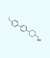 CCc1ccc(-c2ccc(C3CCC(CO)CC3)cc2)cc1